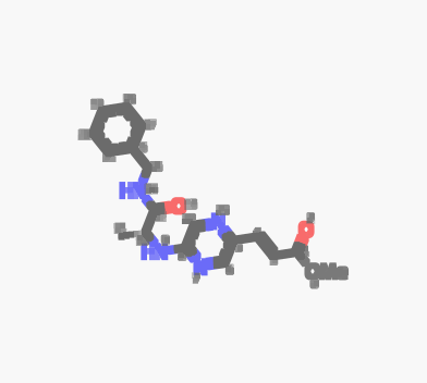 COC(=O)/C=C/c1cnc(N[C@H](C)C(=O)NCc2ccccc2)cn1